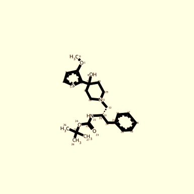 COc1ccsc1C1(O)CCN(C[C@H](Cc2ccccc2)NC(=O)OC(C)(C)C)CC1